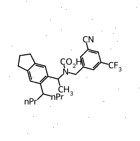 CCCC(CCC)c1cc2c(cc1C(C)N(Cc1cc(C#N)cc(C(F)(F)F)c1)C(=O)O)CCC2